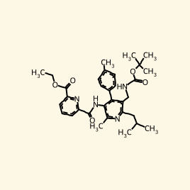 CCOC(=O)c1cccc(C(=O)Nc2c(C)nc(CC(C)C)c(CNC(=O)OC(C)(C)C)c2-c2ccc(C)cc2)n1